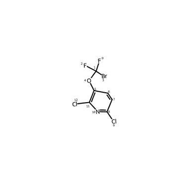 FC(F)(Br)Oc1ccc(Cl)nc1Cl